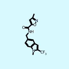 Cc1cc(C(=O)NCc2ccc3c(c2)cc(C(F)(F)F)n3C)on1